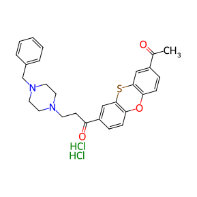 CC(=O)c1ccc2c(c1)Sc1cc(C(=O)CCN3CCN(Cc4ccccc4)CC3)ccc1O2.Cl.Cl